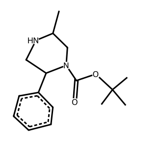 CC1CN(C(=O)OC(C)(C)C)C(c2ccccc2)CN1